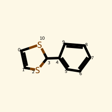 C1=CSC(c2ccccc2)S1